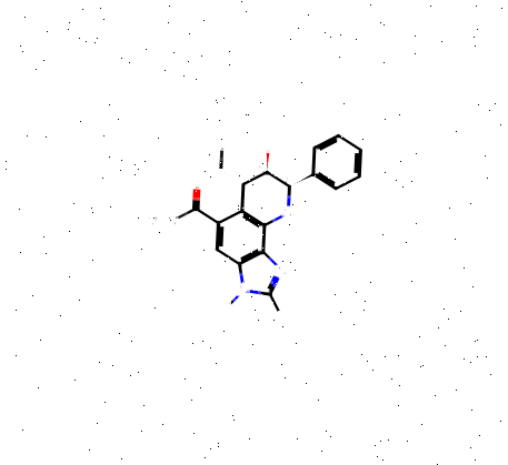 CNC(=O)c1cc2c(nc(C)n2C)c2c1[C@H](CC(F)(F)F)[C@@H](O)[C@@H](c1ccccc1)N2